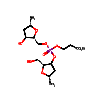 B[C@H]1CC(O)[C@@H](CO[P@](=O)(OCCC(=O)OCC)OC2C[C@H](B)O[C@@H]2CO)O1